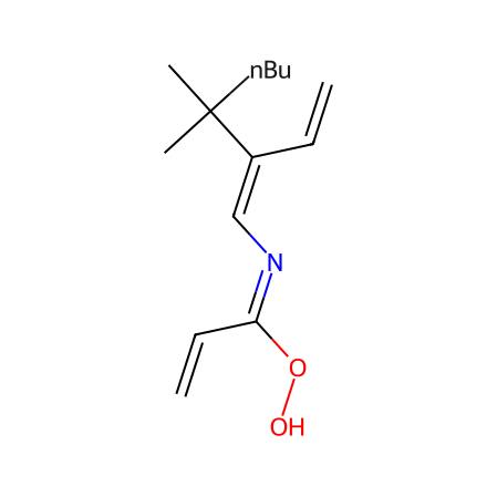 C=C/C(=C\N=C(/C=C)OO)C(C)(C)CCCC